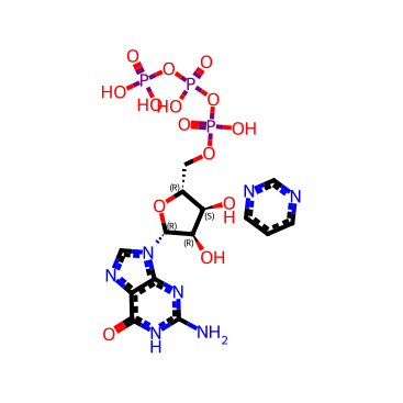 Nc1nc2c(ncn2[C@@H]2O[C@H](COP(=O)(O)OP(=O)(O)OP(=O)(O)O)[C@@H](O)[C@H]2O)c(=O)[nH]1.c1cncnc1